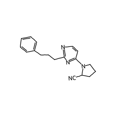 N#CC1CCCN1c1ccnc(CCCc2ccccc2)n1